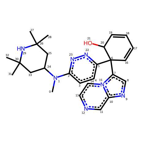 CN(c1ccc(C2(c3cnc4cnccn34)C=CC=CC2O)nn1)C1CC(C)(C)NC(C)(C)C1